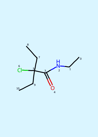 CCNC(=O)C(Cl)(CC)CC